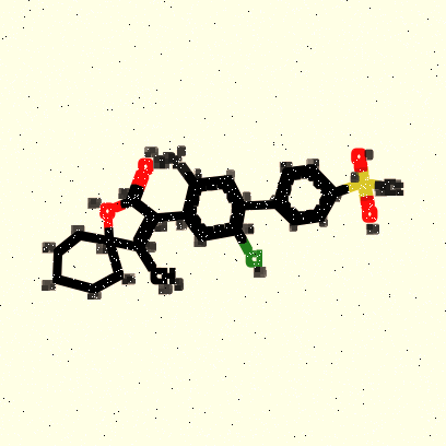 CCCc1cc(-c2ccc(S(=O)(=O)CC)cc2)c(Cl)cc1C1=C(C)C2(CCCCC2)OC1=O